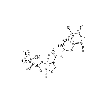 CN[C@@H](CC(=O)N1CC[C@H]2CN(C(=O)C(C)(C)C)C[C@H]21)Cc1cc(F)c(F)cc1F